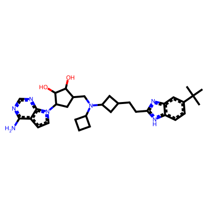 CC(C)(C)c1ccc2[nH]c(CCC3CC(N(CC4CC(n5ccc6c(N)ncnc65)C(O)C4O)C4CCC4)C3)nc2c1